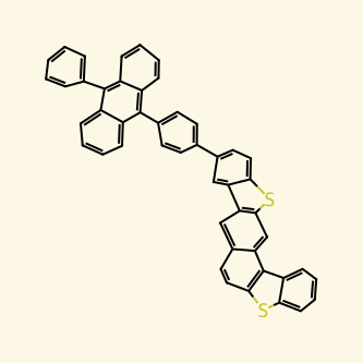 c1ccc(-c2c3ccccc3c(-c3ccc(-c4ccc5sc6cc7c(ccc8sc9ccccc9c87)cc6c5c4)cc3)c3ccccc23)cc1